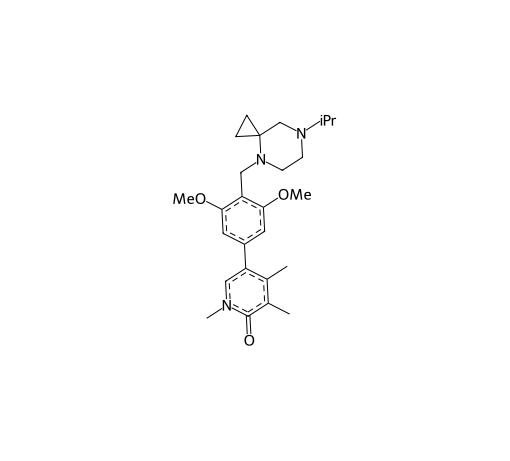 COc1cc(-c2cn(C)c(=O)c(C)c2C)cc(OC)c1CN1CCN(C(C)C)CC12CC2